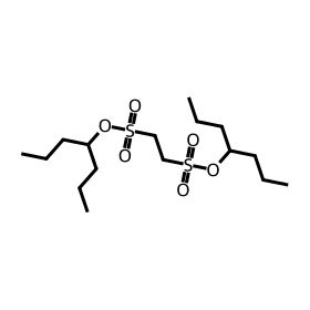 CCCC(CCC)OS(=O)(=O)CCS(=O)(=O)OC(CCC)CCC